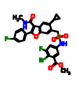 CNC(=O)c1c(-c2ccc(F)cc2)oc2cc(CS(=O)(=O)Nc3cc(F)c(Br)c(C(=O)OC)c3)c(C3CC3)cc12